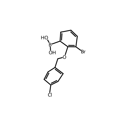 OB(O)c1cccc(Br)c1OCc1ccc(Cl)cc1